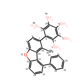 Bc1c(B)c(B)c(-c2ccc3oc4cccc(-c5ccccc5)c4c3c2C(C)C)c(B)c1B